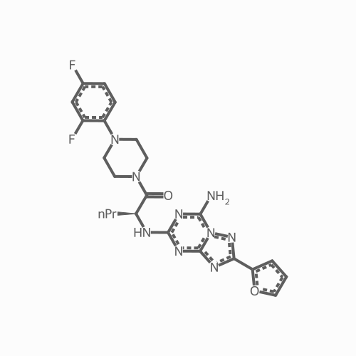 CCC[C@H](Nc1nc(N)n2nc(-c3ccco3)nc2n1)C(=O)N1CCN(c2ccc(F)cc2F)CC1